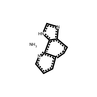 N.c1cnc2c(c1)ccc1nc[nH]c12